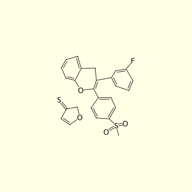 CS(=O)(=O)c1ccc(C2=C(c3cccc(F)c3)Cc3ccccc3O2)cc1.S=C1C=COC1